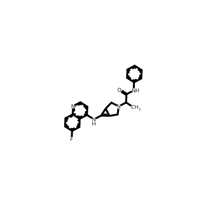 CC(C(=O)Nc1ccccc1)N1CC2=C(Nc3ccnc4ccc(F)cc34)C2C1